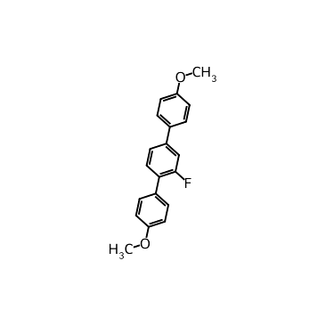 COc1ccc(-c2ccc(-c3ccc(OC)cc3)c(F)c2)cc1